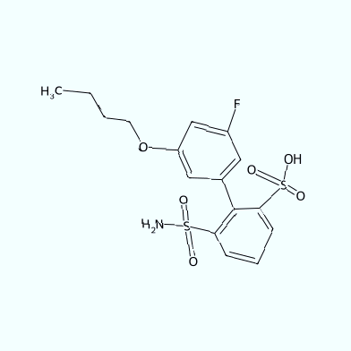 CCCCOc1cc(F)cc(-c2c(S(N)(=O)=O)cccc2S(=O)(=O)O)c1